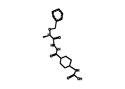 C[C@@H](OCc1ccccc1)C(=O)NNC(=O)C1CCC(NC(=O)O)CC1